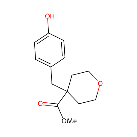 COC(=O)C1(Cc2ccc(O)cc2)CCOCC1